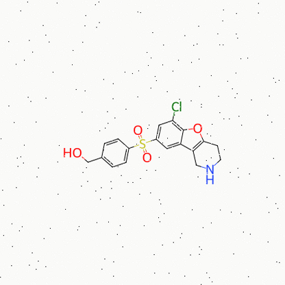 O=S(=O)(c1ccc(CO)cc1)c1cc(Cl)c2oc3c(c2c1)CNCC3